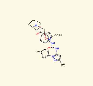 CCOC(=O)c1cc(C(=O)CN2C3CCC2CC(Cc2cccc(NC(=O)Nc4cc(C(C)(C)C)nn4-c4ccc(C)cc4)c2)C3)on1